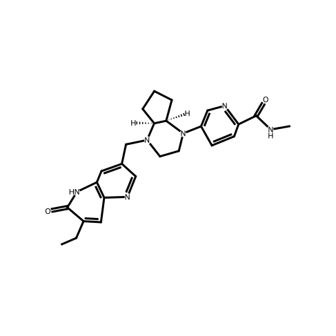 CCc1cc2ncc(CN3CCN(c4ccc(C(=O)NC)nc4)[C@@H]4CCC[C@@H]43)cc2[nH]c1=O